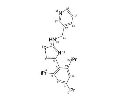 CC(C)c1cc(C(C)C)c(-c2csc(NCc3cccnc3)n2)c(C(C)C)c1